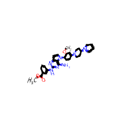 COC(=O)c1cccc(Nc2nc(N)c3c(ccn3-c3ccc(N4CCC(N5CCCC5)CC4)cc3OC)n2)c1